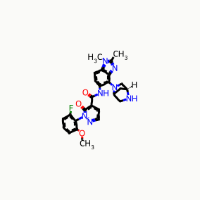 COc1cccc(F)c1-n1nccc(C(=O)Nc2ccc3c(nc(C)n3C)c2N2C[C@@H]3CC2CN3)c1=O